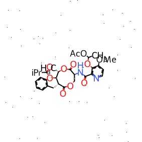 COc1ccnc(C(=O)N[C@H]2COC(=O)[C@H](Cc3ccccc3)C(OC(=O)C(C)C)[C@H](C)OC2=O)c1OC(C)OC(C)=O